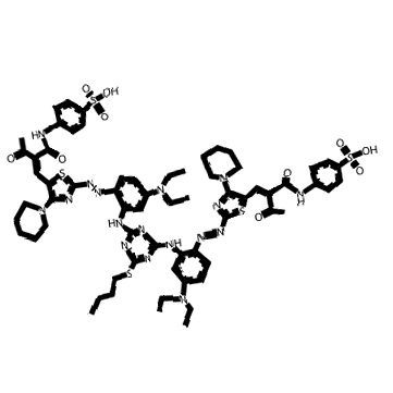 CCCCSc1nc(Nc2cc(N(CC)CC)ccc2/N=N/c2nc(N3CCCCC3)c(/C=C(/C(C)=O)C(=O)Nc3ccc(S(=O)(=O)O)cc3)s2)nc(Nc2cc(N(CC)CC)ccc2/N=N/c2nc(N3CCCCC3)c(/C=C(\C(C)=O)C(=O)Nc3ccc(S(=O)(=O)O)cc3)s2)n1